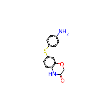 Nc1ccc(Sc2ccc3c(c2)OCC(=O)N3)cc1